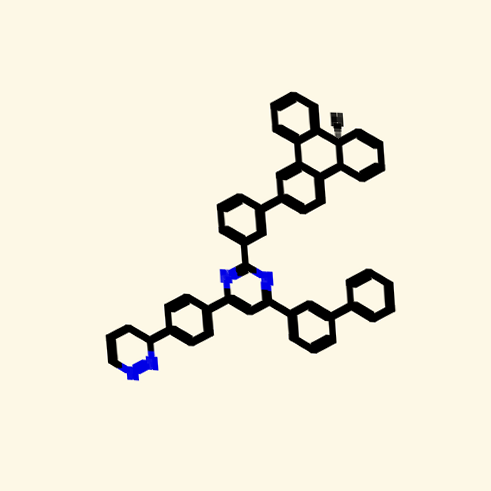 C1=CC2c3ccc(-c4cccc(-c5nc(-c6ccc(C7CC=CN=N7)cc6)cc(-c6cccc(-c7ccccc7)c6)n5)c4)cc3-c3ccccc3[C@H]2C=C1